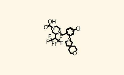 O=C(O)N1CCN(Cc2ccc(Cl)cc2N2CCC3(CCOCC3)C2)C(C(C(F)(F)F)C(F)(F)F)C1